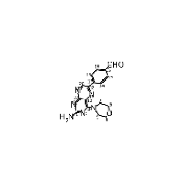 Nc1nc(N2CCOCC2)c2nc(-c3ccc(C=O)cc3)cnc2n1